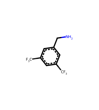 N[CH]c1cc(C(F)(F)F)cc(C(F)(F)F)c1